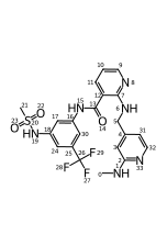 CNc1cc(CNc2ncccc2C(=O)Nc2cc(NS(C)(=O)=O)cc(C(F)(F)F)c2)ccn1